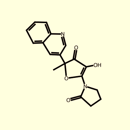 CC1(c2cnc3ccccc3c2)OC(N2CCCC2=O)=C(O)C1=O